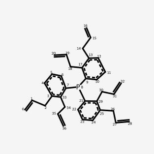 C=CCc1cccc(P(c2cccc(CC=C)c2CC=C)c2cccc(CC=C)c2CC=C)c1CC=C